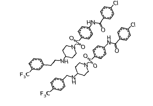 O=C(Nc1ccc(S(=O)(=O)N2CCC(NCCc3cccc(C(F)(F)F)c3)CC2)cc1)c1ccc(Cl)cc1.O=C(Nc1ccc(S(=O)(=O)N2CCC(NCc3ccc(C(F)(F)F)cc3)CC2)cc1)c1ccc(Cl)cc1